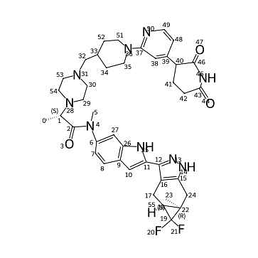 C[C@@H](C(=O)N(C)c1ccc2cc(-c3n[nH]c4c3C[C@@H]3C(F)(F)[C@]3(C)C4)[nH]c2c1)N1CCN(CC2CCN(c3cc(C4CCC(=O)NC4=O)ccn3)CC2)CC1